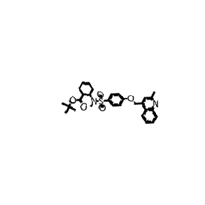 Cc1cc(COc2ccc(S(=O)(=O)N(C)C3CC=CCC3C(=O)OC(C)(C)C)cc2)c2ccccc2n1